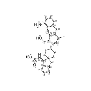 Cc1nc(N2CCC3(CC2)Cn2nccc2[C@H]3N[S@+]([O-])C(C)(C)C)c(CO)nc1Sc1ccnc(N)c1Cl